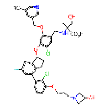 CC(CO)(NCc1cc(Cl)c(O[C@H]2CCc3c(-c4cccc(OCCCN5CC(O)C5)c4Cl)cc(F)cc32)cc1OCc1cncc(C#N)c1)C(=O)O